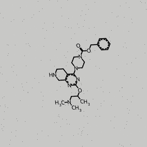 CC(CN(C)C)Oc1nc2c(c(N3CCN(C(=O)OCc4ccccc4)CC3)n1)CCNC2